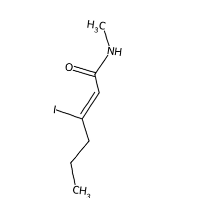 CCCC(I)=CC(=O)NC